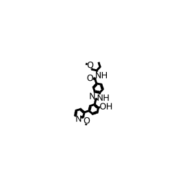 CCC(COC)NC(=O)c1ccc2[nH]c(-c3cc(-c4cccnc4OC)ccc3O)nc2c1